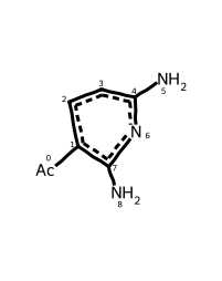 CC(=O)c1ccc(N)nc1N